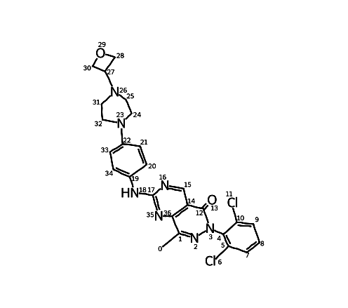 Cc1nn(-c2c(Cl)cccc2Cl)c(=O)c2cnc(Nc3ccc(N4CCN(C5COC5)CC4)cc3)nc12